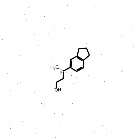 [CH2][C@@H](CCO)c1ccc2c(c1)CCC2